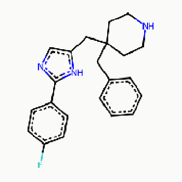 Fc1ccc(-c2ncc(CC3(Cc4ccccc4)CCNCC3)[nH]2)cc1